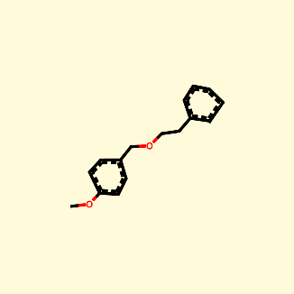 COc1ccc(COCCc2[c]cccc2)cc1